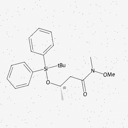 CON(C)C(=O)C[C@H](C)O[Si](c1ccccc1)(c1ccccc1)C(C)(C)C